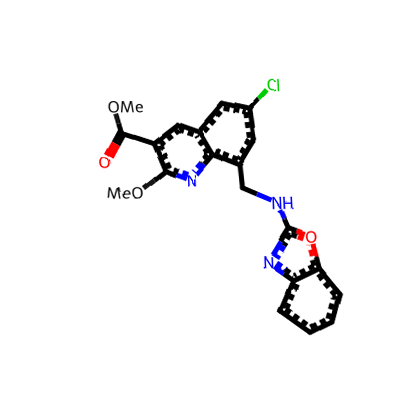 COC(=O)c1cc2cc(Cl)cc(CNc3nc4ccccc4o3)c2nc1OC